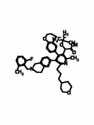 Cc1cccc(F)c1CN1CCc2cc(-c3c(CCCC4CCOCC4)nc(C)c(C(OC(C)(C)C)C(=O)O)c3-c3ccc4c(c3)CCCO4)ccc2C1